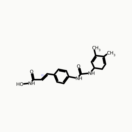 CC1=CCC(NC(=O)Nc2ccc(/C=C/C(=O)NO)cc2)C=C1C